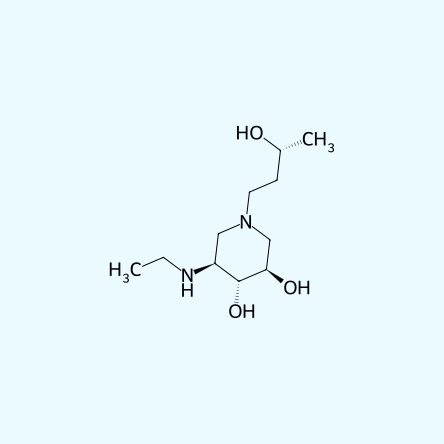 CCN[C@H]1CN(CC[C@@H](C)O)C[C@@H](O)[C@@H]1O